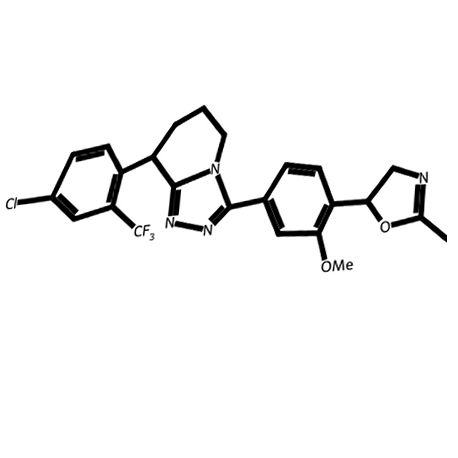 COc1cc(-c2nnc3n2CCCC3c2ccc(Cl)cc2C(F)(F)F)ccc1C1CN=C(C)O1